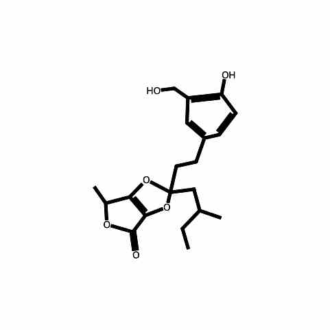 CCC(C)CC1(CCc2ccc(O)c(CO)c2)OC2=C(O1)C(C)OC2=O